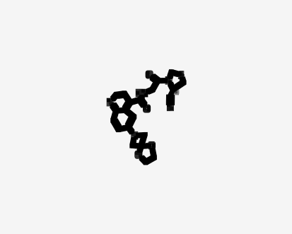 N#C[C@@H]1CSCN1C(=O)CNC(=O)c1ccnc2ccc(N3CC4(C3)OCCO4)cc12